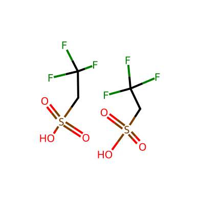 O=S(=O)(O)CC(F)(F)F.O=S(=O)(O)CC(F)(F)F